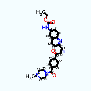 CCOC(=O)Nc1ccc2nc(/C=C\C(=O)c3ccc(C(=O)N4CCN(C)CC4)cc3)ccc2c1